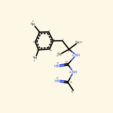 [2H]c1cc([2H])cc(CC([2H])([2H])NC(=N)NC(C)=N)c1